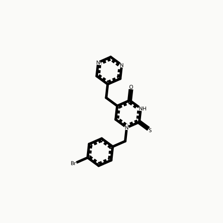 O=c1[nH]c(=S)n(Cc2ccc(Br)cc2)cc1Cc1cncnc1